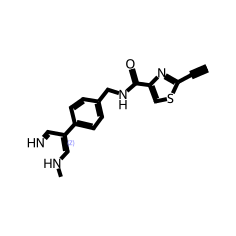 C#Cc1nc(C(=O)NCc2ccc(/C(C=N)=C/NC)cc2)cs1